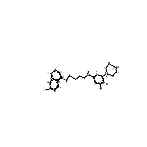 Cc1cc(NCCCCNc2ccnc3cc(Cl)ccc23)nc(N2CCNCC2)n1